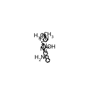 CN(C)c1nccc(Sc2cnc(N3CCC4(CC3)Cc3ccccc3[C@H]4N)c(CO)n2)c1F